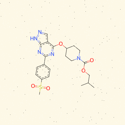 CC(C)COC(=O)N1CCC(Oc2nc(-c3ccc(S(C)(=O)=O)cc3)nc3[nH]ncc23)CC1